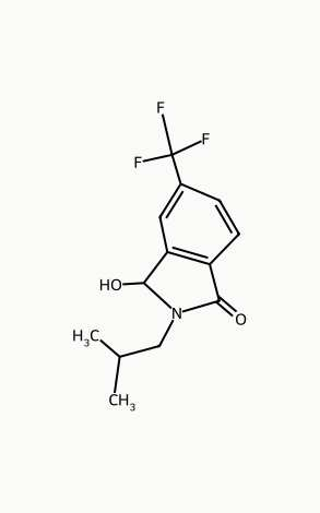 CC(C)CN1C(=O)c2ccc(C(F)(F)F)cc2C1O